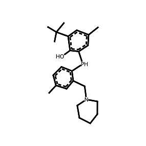 Cc1ccc(Pc2cc(C)cc(C(C)(C)C)c2O)c(CN2CCCCC2)c1